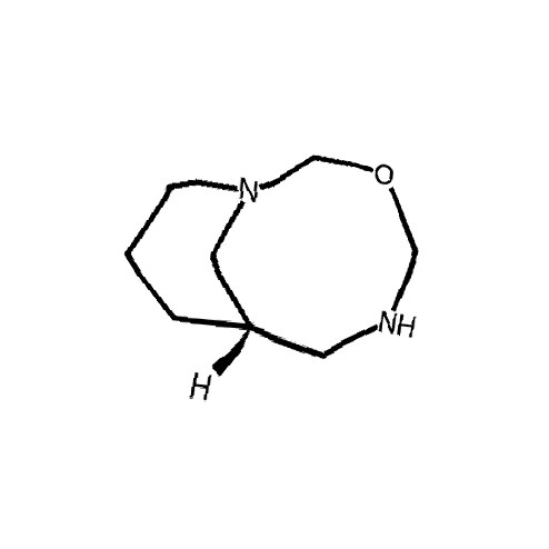 C1C[C@H]2CNCOCN(C1)C2